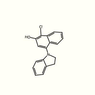 Oc1cc(N2CCc3ccccc32)c2ccccc2c1Cl